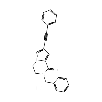 C[C@@H](c1ccccc1)N1CCn2cc(C#Cc3ccccc3)cc2C1=O